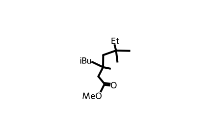 CCC(C)C(C)(CC(=O)OC)CC(C)(C)CC